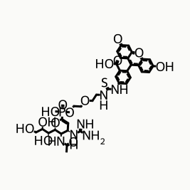 CC(=O)N[C@H]1[C@H]([C@H](O)[C@H](O)CO)OC(P(=O)(O)OCCOCCNC(=S)Nc2ccc(-c3c4ccc(=O)cc-4oc4cc(O)ccc34)c(C(=O)O)c2)=C[C@@H]1NC(=N)N